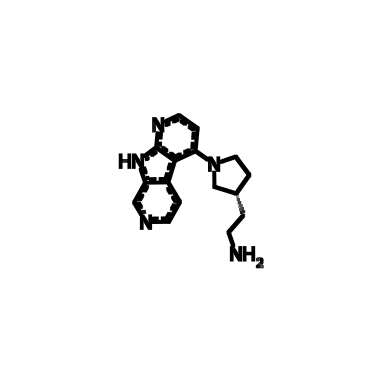 NCC[C@H]1CCN(c2ccnc3[nH]c4cnccc4c23)C1